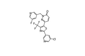 O=c1ccc(-c2sc(-c3cncc(Cl)c3)nc2C(F)(F)F)nn1Cc1cncc(F)c1